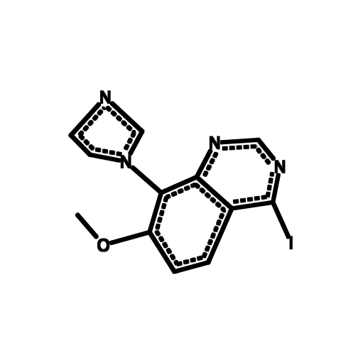 COc1ccc2c(I)ncnc2c1-n1ccnc1